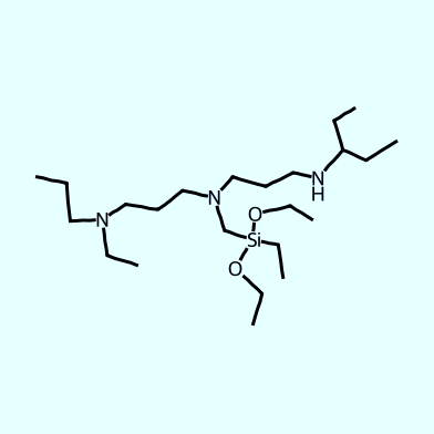 CCCN(CC)CCCN(CCCNC(CC)CC)C[Si](CC)(OCC)OCC